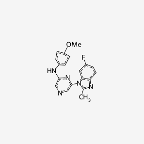 COc1ccc(Nc2cncc(-n3c(C)nc4ccc(F)cc43)n2)cc1